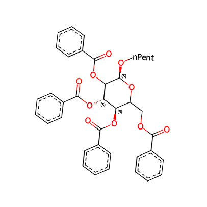 CCCCCO[C@H]1OC(COC(=O)c2ccccc2)[C@@H](OC(=O)c2ccccc2)[C@H](OC(=O)c2ccccc2)C1OC(=O)c1ccccc1